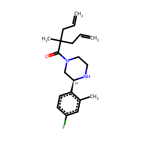 C=CCC(C)(CC=C)C(=O)N1CCN[C@@H](c2ccc(F)cc2C)C1